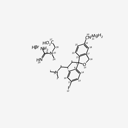 Br.CN(C)CCCC1(c2ccc(F)cc2)OCc2cc(C#N)ccc21.CN(CC(=O)O)C(=N)N.[MgH2]